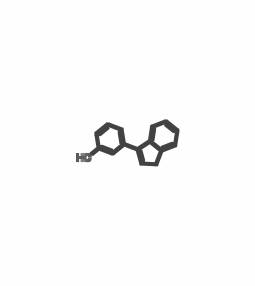 Oc1cccc(C2=CCc3ccccc32)c1